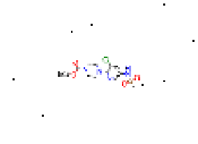 CC(C)(C)OC(=O)N1CCN(c2ncc(NS(C)(=O)=O)cc2Cl)CC1